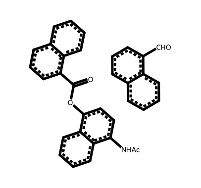 CC(=O)Nc1ccc(OC(=O)c2cccc3ccccc23)c2ccccc12.O=Cc1cccc2ccccc12